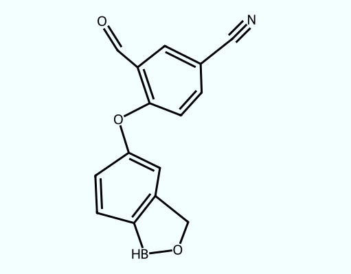 N#Cc1ccc(Oc2ccc3c(c2)COB3)c(C=O)c1